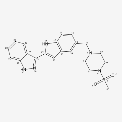 CS(=O)(=O)N1CCN(Cc2ccc3[nH]c(-c4n[nH]c5ccccc45)cc3c2)CC1